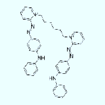 c1ccc(Nc2ccc(/N=N/c3cccc[n+]3CCCCCC[n+]3ccccc3/N=N/c3ccc(Nc4ccccc4)cc3)cc2)cc1